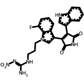 NC(=N[N+](=O)[O-])NCCCn1cc(C2=C(c3c[nH]c4ccccc34)C(=O)NC2=O)c2cccc(F)c21